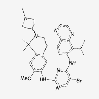 COc1cc2c(cc1Nc1ncc(Br)c(Nc3ccc4nccnc4c3P(C)C)n1)CCN(C1CN(C)C1)C2(C)C